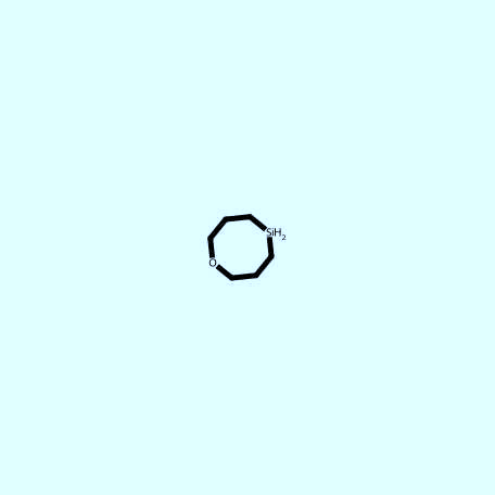 C1COCCC[SiH2]C1